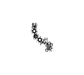 O=C(NCC(F)(F)c1ccc(-c2ncn(-c3ccc(OC(F)(F)F)cc3)n2)cc1)ON1C(=O)CCC1=O